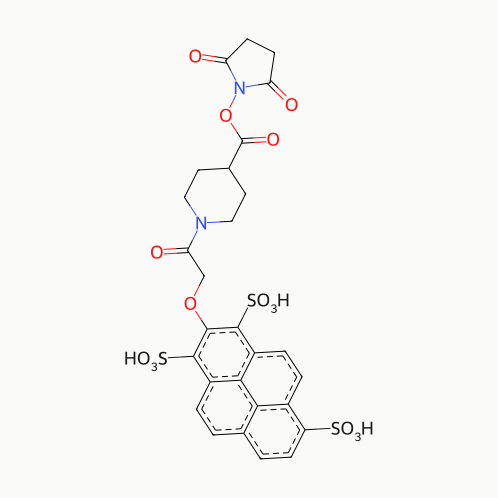 O=C(ON1C(=O)CCC1=O)C1CCN(C(=O)COc2c(S(=O)(=O)O)c3ccc4ccc(S(=O)(=O)O)c5ccc(c2S(=O)(=O)O)c3c45)CC1